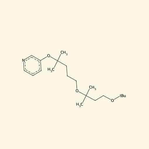 CC(C)(C)OCCC(C)(C)OCCCC(C)(C)Oc1cccnc1